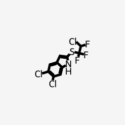 FC(Cl)C(F)(F)Sc1cc2cc(Cl)c(Cl)cc2[nH]1